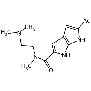 CC(=O)c1cc2cc(C(=O)N(C)CCN(C)C)[nH]c2[nH]1